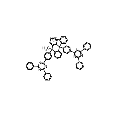 Cc1ccccc1C1(c2ccc(-c3nc(-c4ccccc4)nc(-c4ccccc4)n3)cc2)c2ccccc2C(C)(c2ccc(-c3nc(-c4ccccc4)nc(-c4ccccc4)n3)cc2)c2ccccc21